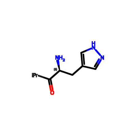 CC(C)C(=O)[C@@H](N)Cc1cn[nH]c1